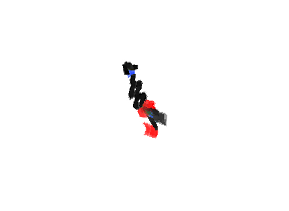 CC(=O)N(CCO)S(=O)(=O)c1ccc(-c2ccc(CCn3cccc3C)cc2)cc1